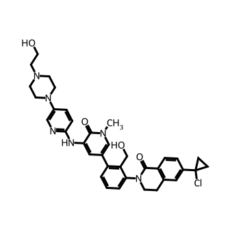 Cn1cc(-c2cccc(N3CCc4cc(C5(Cl)CC5)ccc4C3=O)c2CO)cc(Nc2ccc(N3CCN(CCO)CC3)cn2)c1=O